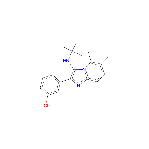 Cc1ccc2nc(-c3cccc(O)c3)c(NC(C)(C)C)n2c1C